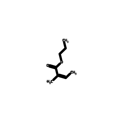 [CH2]C(=CC)C(=O)OCCC